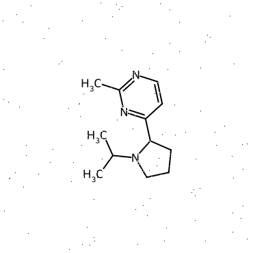 Cc1nccc(C2CCCN2C(C)C)n1